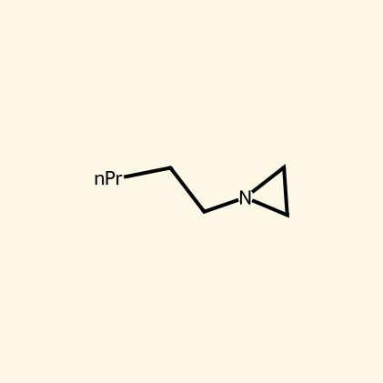 CCCCCN1CC1